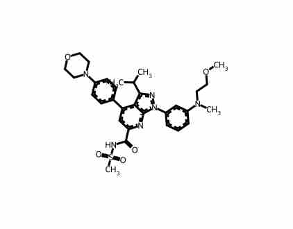 COCCN(C)c1cccc(-n2nc(C(C)C)c3c(-c4ccc(N5CCOCC5)cc4)cc(C(=O)NS(C)(=O)=O)nc32)c1